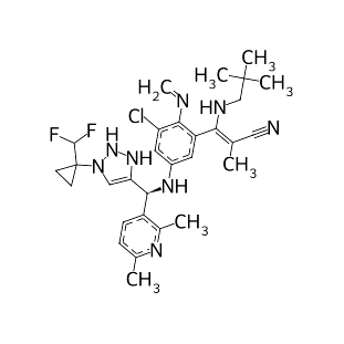 C=Nc1c(Cl)cc(N[C@H](C2=CN(C3(C(F)F)CC3)NN2)c2ccc(C)nc2C)cc1/C(NCC(C)(C)C)=C(\C)C#N